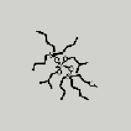 CCCC[Si](CCCC)(CCCC)[O][Zr]([O]CC(C)C)([O]CC(C)C)[O][Si](CCCC)(CCCC)CCCC